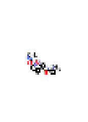 CNCC(=O)NC1CCCc2ccccc2N1C(=O)c1ccc(NC(=O)c2ccccc2C)cc1